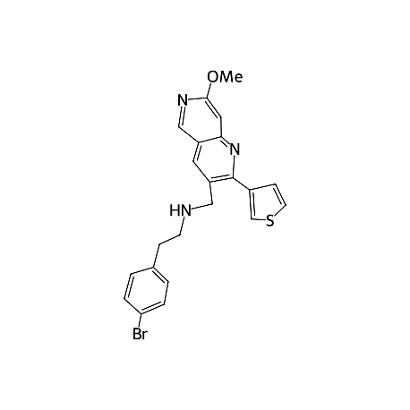 COc1cc2nc(-c3ccsc3)c(CNCCc3ccc(Br)cc3)cc2cn1